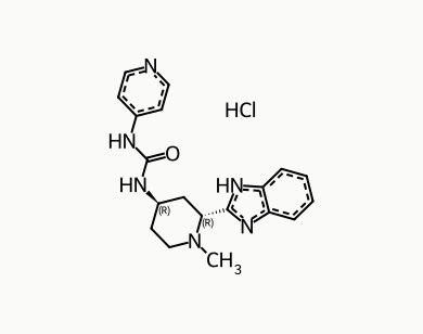 CN1CC[C@@H](NC(=O)Nc2ccncc2)C[C@@H]1c1nc2ccccc2[nH]1.Cl